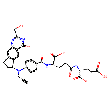 C#CCN(c1ccc(C(=O)N[C@@H](CCC(=O)N[C@H](CCC(=O)O)C(=O)O)C(=O)O)cc1)[C@H]1CCc2cc3nc(CO)[nH]c(=O)c3cc21